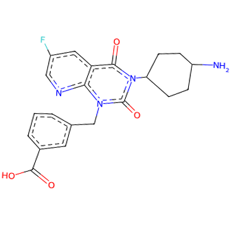 NC1CCC(n2c(=O)c3cc(F)cnc3n(Cc3cccc(C(=O)O)c3)c2=O)CC1